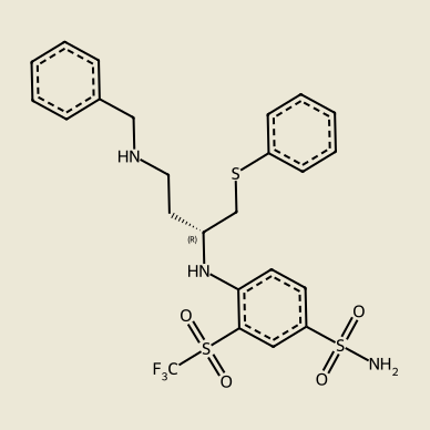 NS(=O)(=O)c1ccc(N[C@H](CCNCc2ccccc2)CSc2ccccc2)c(S(=O)(=O)C(F)(F)F)c1